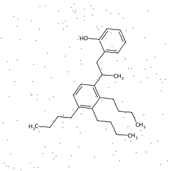 CCCCc1ccc(C(C)Cc2ccccc2O)c(CCCC)c1CCCC